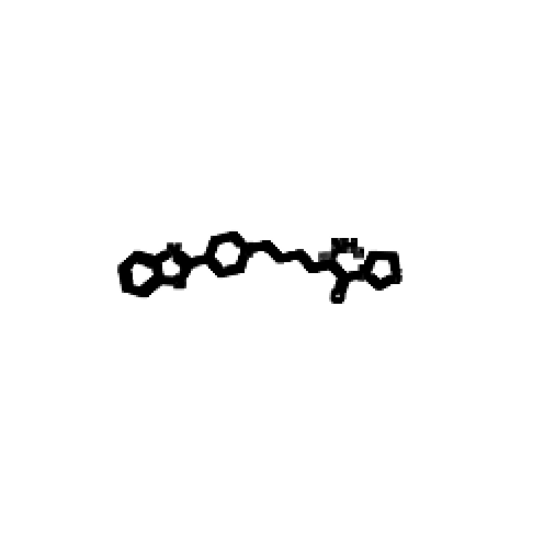 N[C@@H](CCCCN1CCC(c2nc3ccccc3s2)CC1)C(=O)N1CCSC1